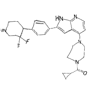 O=C(C1CC1)N1CCN(c2ccnc3[nH]c(-c4ccc(C5CCNCC5(F)F)cc4)cc23)CC1